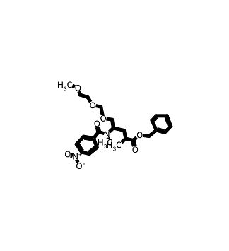 COCCOCOCC(CC(C)C(=O)OCc1ccccc1)N(C)C(=O)c1ccc([N+](=O)[O-])cc1